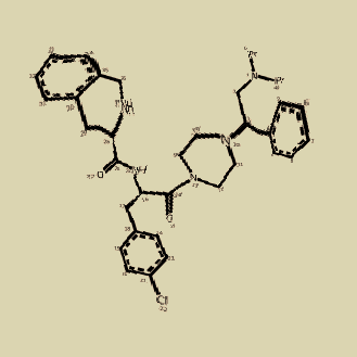 CC(C)N(CC(c1ccccc1)N1CCN(C(=O)[C@@H](Cc2ccc(Cl)cc2)NC(=O)[C@H]2Cc3ccccc3CN2)CC1)C(C)C